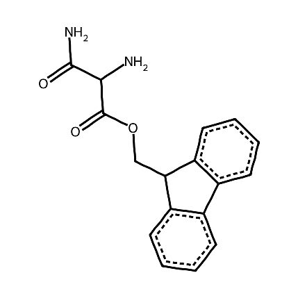 NC(=O)C(N)C(=O)OCC1c2ccccc2-c2ccccc21